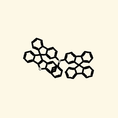 c1ccc(N(c2ccc3c(c2)C2(c4ccccc4-c4ccccc42)c2ccccc2-3)c2ccc3c(c2)C2(c4ccccc4-3)c3ccccc3-c3oc4ccccc4c32)cc1